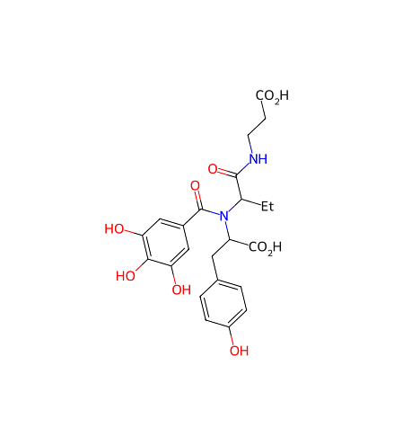 CCC(C(=O)NCCC(=O)O)N(C(=O)c1cc(O)c(O)c(O)c1)C(Cc1ccc(O)cc1)C(=O)O